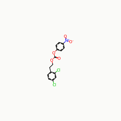 O=C(OCCc1ccc(Cl)cc1Cl)Oc1ccc([N+](=O)[O-])cc1